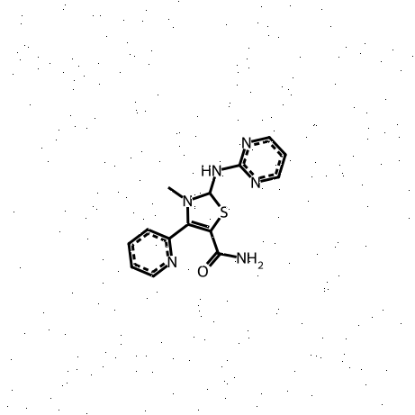 CN1C(c2ccccn2)=C(C(N)=O)SC1Nc1ncccn1